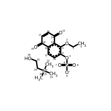 CCOc1c(OS(=O)(=O)[O-])ccc2c1C(=O)C=CC2=O.C[N+](C)(C)CCO